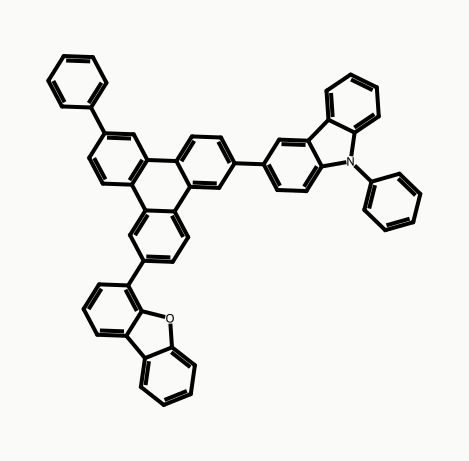 c1ccc(-c2ccc3c(c2)c2ccc(-c4ccc5c(c4)c4ccccc4n5-c4ccccc4)cc2c2ccc(-c4cccc5c4oc4ccccc45)cc32)cc1